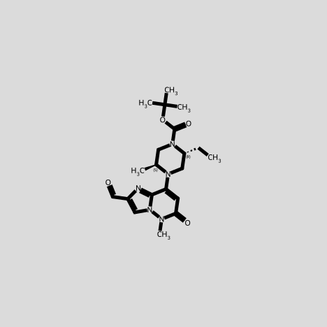 CC[C@@H]1CN(c2cc(=O)n(C)n3cc(C=O)nc23)[C@@H](C)CN1C(=O)OC(C)(C)C